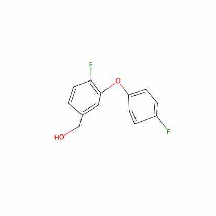 OCc1ccc(F)c(Oc2ccc(F)cc2)c1